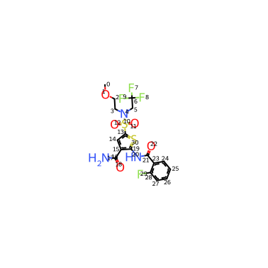 COCCN(CC(F)(F)F)S(=O)(=O)c1cc(C(N)=O)c(NC(=O)c2ccccc2F)s1